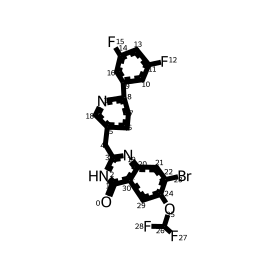 O=c1[nH]c(Cc2ccc(-c3cc(F)cc(F)c3)nc2)nc2cc(Br)c(OC(F)F)cc12